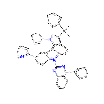 CC1(C)c2ccccc2-c2c1c1ccc3c(c4cc(-c5ccccn5)ccc4n3-c3nc(-c4ccccc4)c4ccccc4n3)c1n2-c1ccccc1